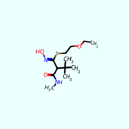 CCOCCS/C(=N\O)C(C(=O)NC)C(C)(C)C